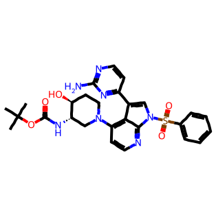 CC(C)(C)OC(=O)N[C@H]1CN(c2ccnc3c2c(-c2ccnc(N)n2)cn3S(=O)(=O)c2ccccc2)CC[C@@H]1O